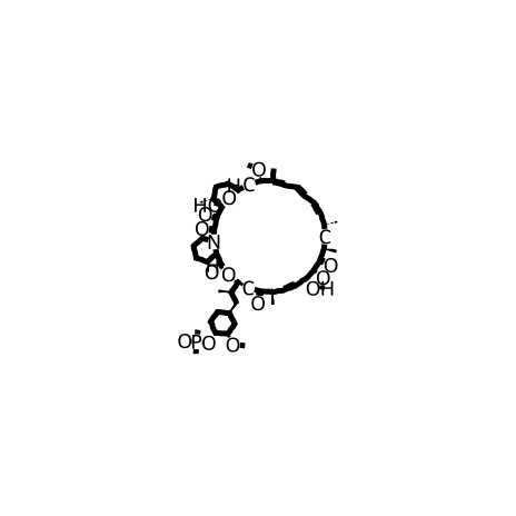 CO[C@H]1C[C@@H]2CC[C@@H](C)[C@@](O)(O2)C(=O)C(=O)N2CCCC[C@H]2C(=O)O[C@H]([C@H](C)C[C@@H]2CC[C@@H](OP(C)(C)=O)[C@H](OC)C2)CC(=O)[C@H](C)/C=C\[C@H](O)[C@H](OC)C(=O)[C@H](C)C[C@@H](C)\C=C/C=C/C=C/1C